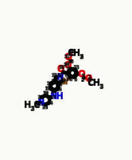 COCOc1cc(Br)c(C(=O)n2cc3ccc(NC4CCN(C)CC4)cc3c2)c(OCOC)c1